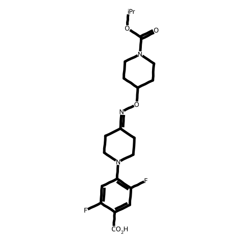 CC(C)OC(=O)N1CCC(ON=C2CCN(c3cc(F)c(C(=O)O)cc3F)CC2)CC1